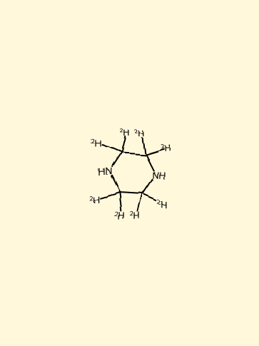 [2H]C1([2H])NC([2H])([2H])C([2H])([2H])NC1([2H])[2H]